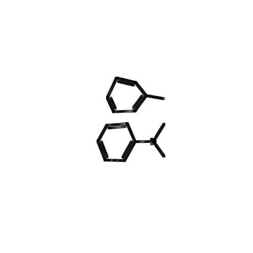 CN(C)c1ccccc1.Cc1ccccc1